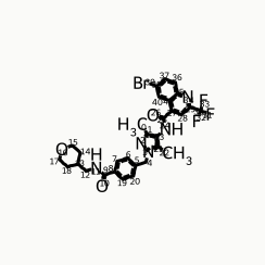 Cc1nn(Cc2ccc(C(=O)NCC3CCOCC3)cc2)c(C)c1NC(=O)c1cc(C(F)(F)F)nc2ccc(Br)cc12